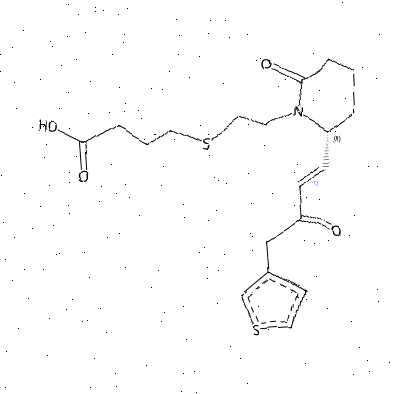 O=C(O)CCCSCCN1C(=O)CCC[C@@H]1/C=C/C(=O)Cc1ccsc1